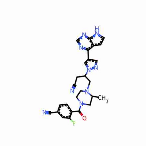 CC1CN(C(=O)c2ccc(C#N)cc2F)CCN1CC(CC#N)n1cc(-c2ncnc3[nH]ccc23)cn1